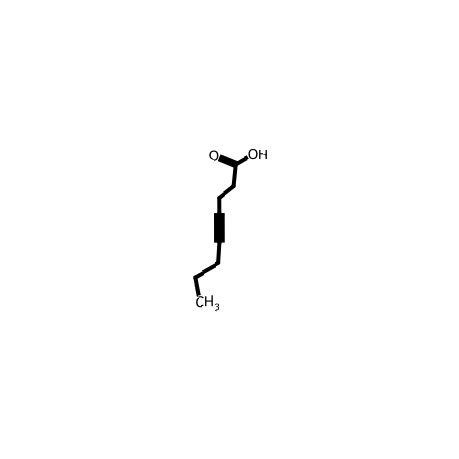 CCCC#CCCC(=O)O